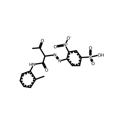 CC(=O)C(N=Nc1ccc(S(=O)(=O)O)cc1[N+](=O)[O-])C(=O)Nc1ccccc1C